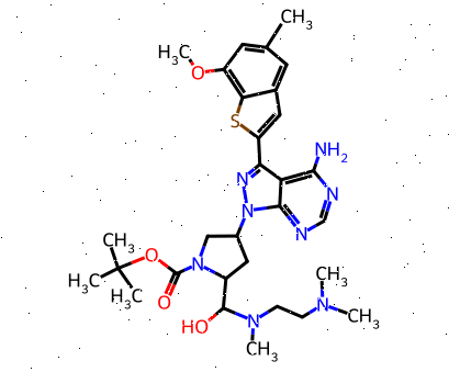 COc1cc(C)cc2cc(-c3nn(C4CC(C(O)N(C)CCN(C)C)N(C(=O)OC(C)(C)C)C4)c4ncnc(N)c34)sc12